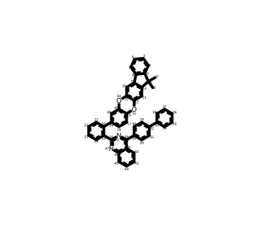 CC1(C)c2ccccc2-c2cc3c(cc21)Oc1ccc(-c2ccccc2-c2nc(-c4ccc(-c5ccccc5)cc4)c4ccccc4n2)cc1O3